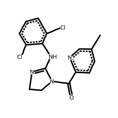 Cc1ccc(C(=O)N2CCN=C2Nc2c(Cl)cccc2Cl)nc1